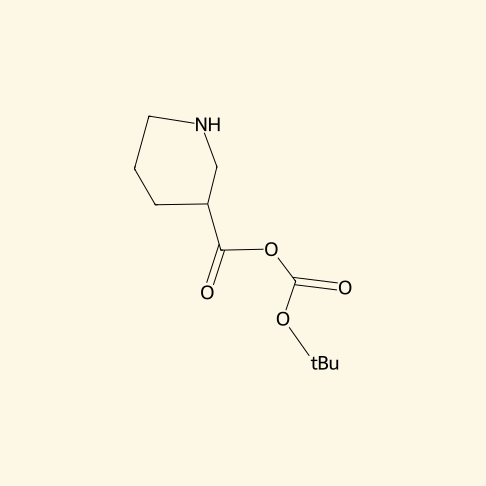 CC(C)(C)OC(=O)OC(=O)C1CCCNC1